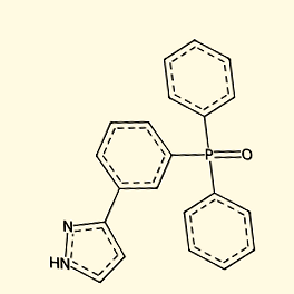 O=P(c1ccccc1)(c1ccccc1)c1cccc(-c2cc[nH]n2)c1